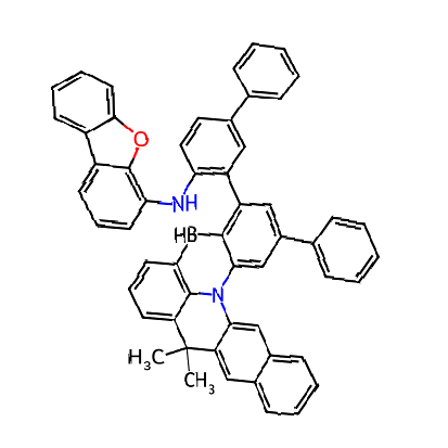 CC1(C)c2cc3ccccc3cc2N2c3cc(-c4ccccc4)cc(-c4cc(-c5ccccc5)ccc4Nc4cccc5c4oc4ccccc45)c3Bc3cccc1c32